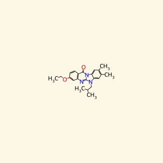 CCOc1ccc2c(=O)n3c4cc(C)c(C)cc4n(CC(C)C)c3nc2c1